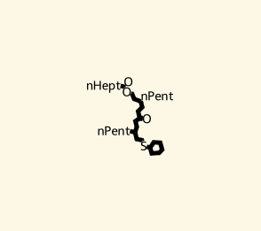 CCCCCCCC(=O)OCCC(CCCCC)CCC(=O)CCC(CCCCC)CCSC1CCCCC1